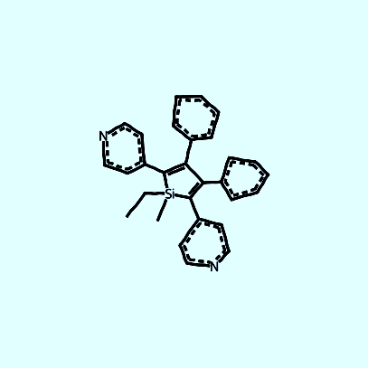 CC[Si]1(C)C(c2ccncc2)=C(c2ccccc2)C(c2ccccc2)=C1c1ccncc1